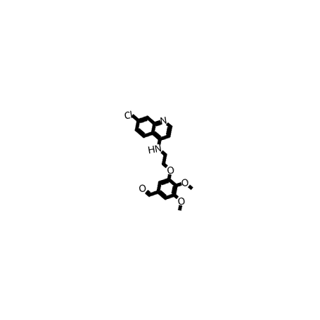 COc1cc(C=O)cc(OCCNc2ccnc3cc(Cl)ccc23)c1OC